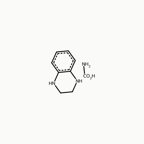 NC(=O)O.c1ccc2c(c1)NCCN2